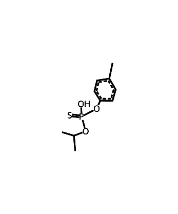 Cc1ccc(OP(O)(=S)OC(C)C)cc1